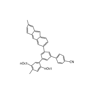 CCCCCCCCc1cc(-c2cc(-c3ccc(C#N)cc3)cc(-c3ccc4cc5cc(C)ccc5cc4c3)c2)c(CCCCCCCC)cc1C